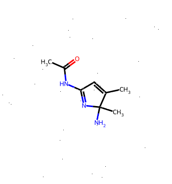 CC(=O)NC1=NC(C)(N)C(C)=C1